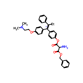 CC/C(=C(/c1ccc(OCCN(C)C)cc1)c1ccc(OC(=O)C(N)C(=O)OCc2ccccc2)cc1)c1ccccc1